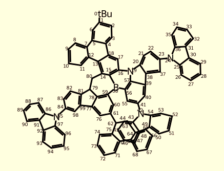 CC(C)(C)c1ccc2c(c1)c1ccccc1c1c3c4c(cc21)-n1c2ccc(-n5c6ccccc6c6ccccc65)cc2c2cc(-n5c6ccccc6c6ccccc65)cc(c21)B4c1cc(C2Cc4ccccc4-c4ccccc42)cc2c1C(C3)c1ccc(-n3c4ccccc4c4ccccc43)cc1-2